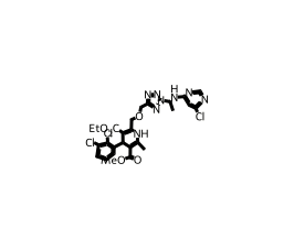 CCOC(=O)C1=C(COCc2nnn(C(C)Nc3cc(Cl)ncn3)n2)NC(C)=C(C(=O)OC)C1c1cccc(Cl)c1Cl